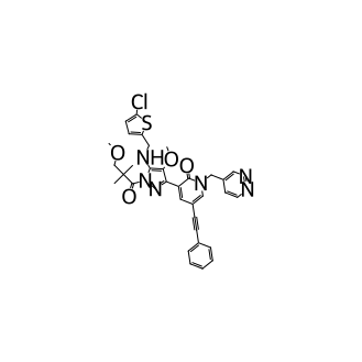 COCC(C)(C)C(=O)n1nc(-c2cc(C#Cc3ccccc3)cn(Cc3ccnnc3)c2=O)c(OC)c1NCc1ccc(Cl)s1